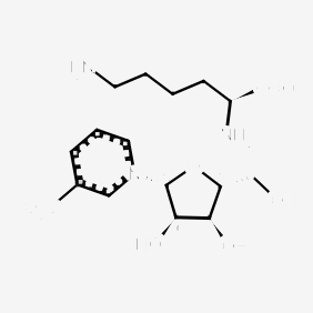 NCCCC[C@H](N)C(=O)[O-].O=C(O)c1ccc[n+]([C@@H]2O[C@H](CO)[C@@H](O)[C@H]2O)c1